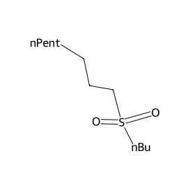 CCCCCCCCS(=O)(=O)CCCC